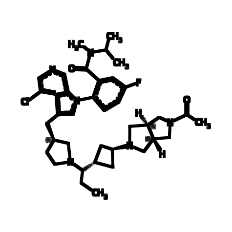 CCC([C@H]1C[C@H](N2C[C@H]3CN(C(C)=O)C[C@@H]3C2)C1)N1CC[C@@H](Cc2cn(-c3ccc(F)cc3C(=O)N(C)C(C)C)c3cncc(Cl)c23)C1